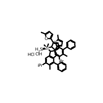 Cc1ccc(C2=Cc3c(cc(C(C)C)c(C)c3-c3ccccc3)[CH]2[Zr]([CH3])([CH3])(=[SiH2])[CH]2C(c3ccc(C)o3)=Cc3c2cc(C(C)C)c(C)c3-c2ccccc2)o1.Cl.Cl